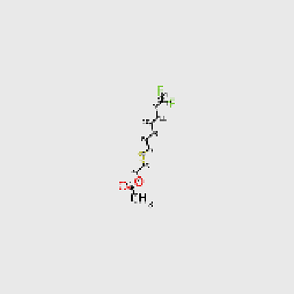 CC(=O)OCCSCCCCCCC(F)F